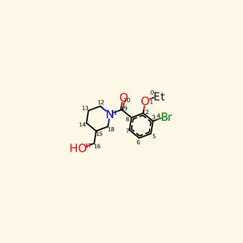 CCOc1c(Br)cccc1C(=O)N1CCCC(CO)C1